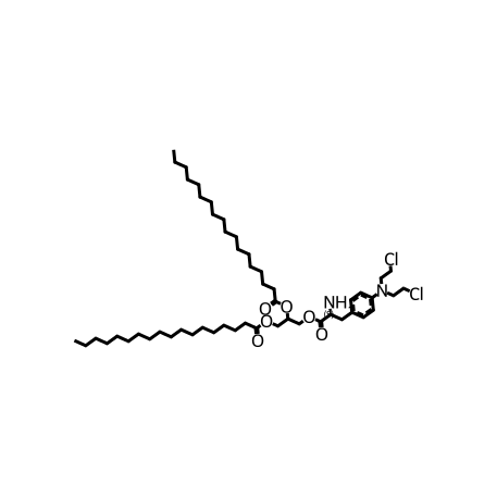 CCCCCCCCCCCCCCCCCC(=O)OCC(COC(=O)[C@@H](N)Cc1ccc(N(CCCl)CCCl)cc1)OC(=O)CCCCCCCCCCCCCCCCC